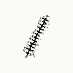 FC(F)([SiH3])C(F)(Cl)C(F)(Cl)C(F)(F)C(F)(F)C(F)(F)C(F)(F)C(F)(F)C(F)(F)C(F)(F)C(F)(F)C(F)(F)Cl